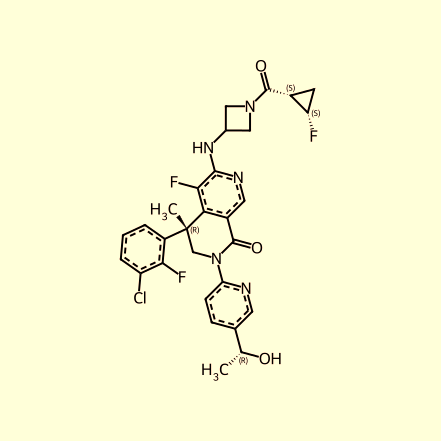 C[C@@H](O)c1ccc(N2C[C@](C)(c3cccc(Cl)c3F)c3c(cnc(NC4CN(C(=O)[C@@H]5C[C@@H]5F)C4)c3F)C2=O)nc1